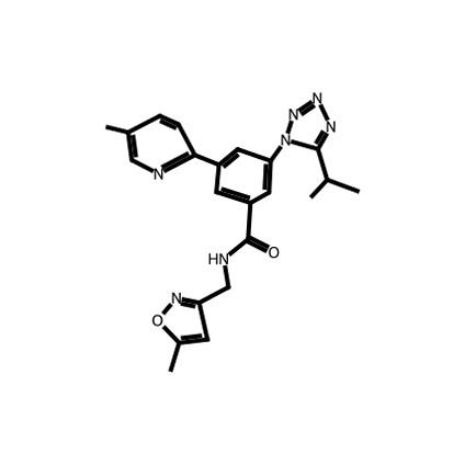 Cc1ccc(-c2cc(C(=O)NCc3cc(C)on3)cc(-n3nnnc3C(C)C)c2)nc1